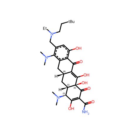 CCN(CCC(C)(C)C)Cc1cc(O)c2c(c1N(C)C)C[C@H]1C[C@H]3[C@H](N(C)C)C(O)=C(C(N)=O)C(=O)[C@@]3(O)C(O)=C1C2=O